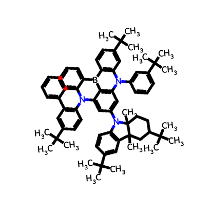 CC(C)(C)c1cccc(N2c3cc(C(C)(C)C)ccc3B3c4ccccc4N(c4ccc(C(C)(C)C)cc4-c4ccccc4)c4cc(N5c6ccc(C(C)(C)C)cc6C6(C)CC(C(C)(C)C)CCC56C)cc2c43)c1